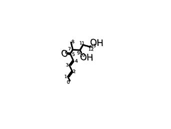 C/C=C/C=C/C(=O)C(C)C(O)CCO